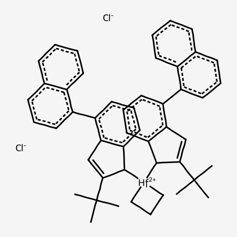 CC(C)(C)C1=Cc2c(-c3cccc4ccccc34)cccc2[CH]1[Hf+2]1([CH]2C(C(C)(C)C)=Cc3c(-c4cccc5ccccc45)cccc32)[CH2]C[CH2]1.[Cl-].[Cl-]